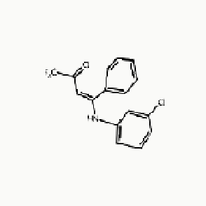 O=C(/C=C(/Nc1cccc(Cl)c1)c1ccccc1)C(F)(F)F